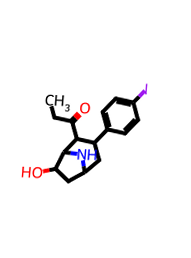 CCC(=O)C1C(c2ccc(I)cc2)CC2CC(O)C1N2